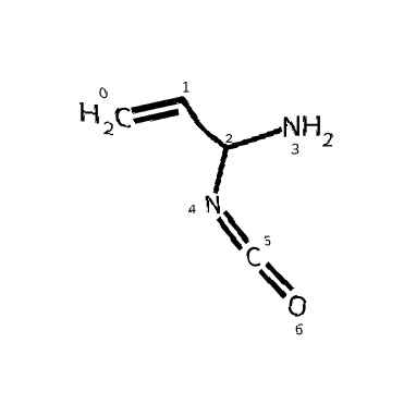 C=CC(N)N=C=O